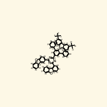 CC(C)(C)c1ccc2c(c1)c1cc(C(C)(C)C)ccc1n2-c1c(-c2ccccc2)cc(-c2nc(-c3ccc4oc5ccccc5c4c3)nc(-c3cccc4oc5ccccc5c34)n2)cc1-c1ccccc1